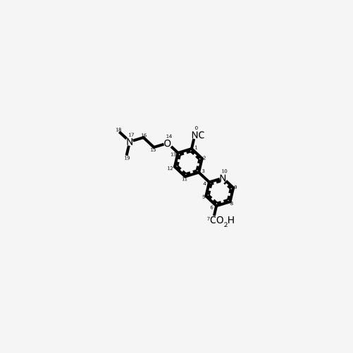 [C-]#[N+]c1cc(-c2cc(C(=O)O)ccn2)ccc1OCCN(C)C